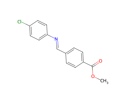 COC(=O)c1ccc(C=Nc2ccc(Cl)cc2)cc1